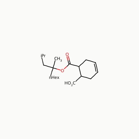 CCCCCCC(C)(CC(C)C)OC(=O)C1CC=CCC1C(=O)O